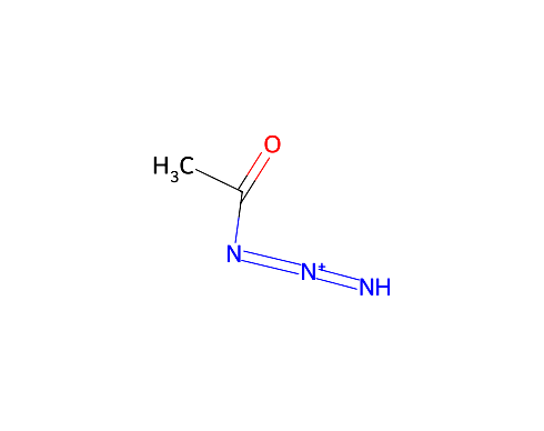 CC(=O)N=[N+]=N